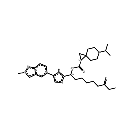 CCC(=O)CCCCC[C@H](NC(=O)[C@H]1CC12CCN(C(C)C)CC2)c1ncc(-c2ccc3nn(C)cc3c2)[nH]1